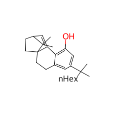 CCCCCCC(C)(C)c1cc(O)c2c(c1)CCC13CCC(C=C21)C3(C)C